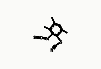 Cc1cc(C)c(SC#N)c(N=C=S)c1C